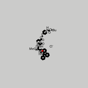 CO/N=C(\C(=O)NC1C(=O)N2C(C(=O)OCSc3cc[n+](NC(=O)OC(C)(C)C)cc3)=CCS[C@@H]12)c1csc(NC(c2ccccc2)(c2ccccc2)c2ccccc2)n1.[Cl-]